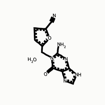 N#Cc1ccc(Cn2c(N)nc3[nH]cnc3c2=O)o1.O